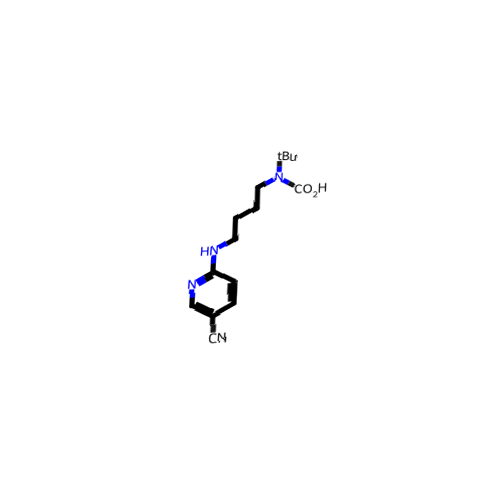 CC(C)(C)N(CCCCNc1ccc(C#N)cn1)C(=O)O